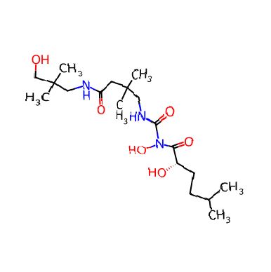 CC(C)CC[C@H](O)C(=O)N(O)C(=O)NCC(C)(C)CC(=O)NCC(C)(C)CO